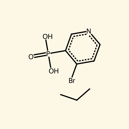 CCC.O=P(O)(O)c1cnccc1Br